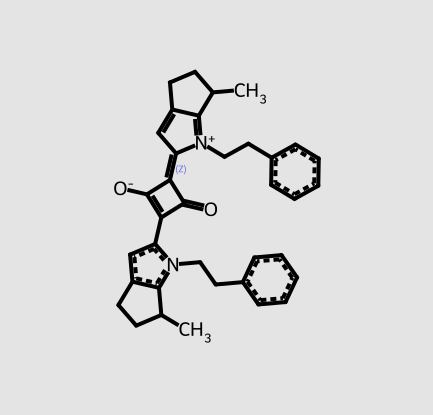 CC1CCC2=C/C(=C3/C(=O)C(c4cc5c(n4CCc4ccccc4)C(C)CC5)=C3[O-])[N+](CCc3ccccc3)=C21